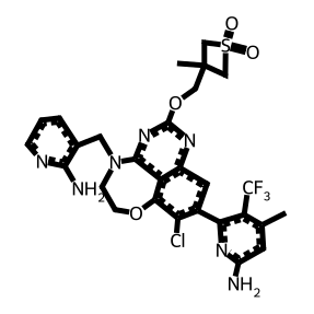 Cc1cc(N)nc(-c2cc3nc(OCC4(C)CS(=O)(=O)C4)nc4c3c(c2Cl)OCCN4Cc2cccnc2N)c1C(F)(F)F